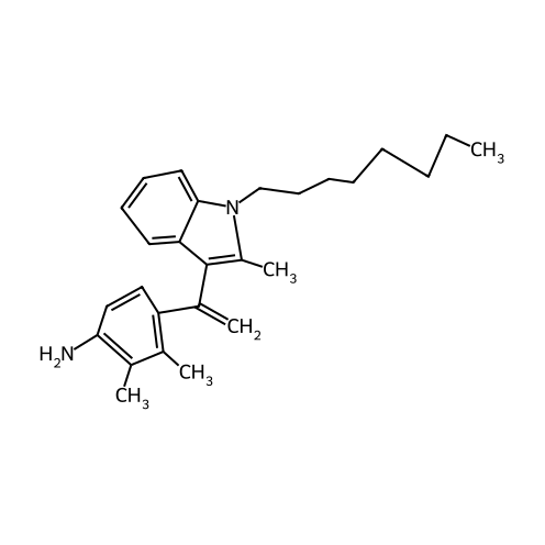 C=C(c1ccc(N)c(C)c1C)c1c(C)n(CCCCCCCC)c2ccccc12